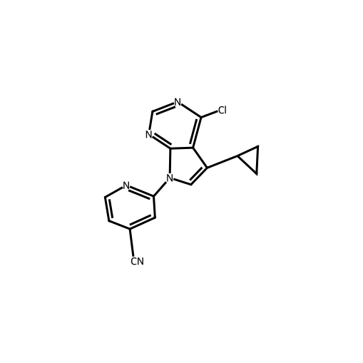 N#Cc1ccnc(-n2cc(C3CC3)c3c(Cl)ncnc32)c1